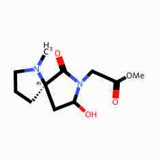 COC(=O)CN1C(=O)[C@@]2(CCCN2C)CC1O